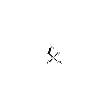 C=C[N+](C)(CC)CC